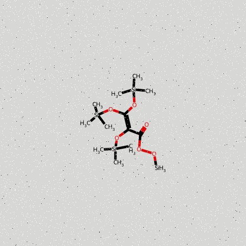 C[Si](C)(C)OC(O[Si](C)(C)C)=C(O[Si](C)(C)C)C(=O)OO[SiH3]